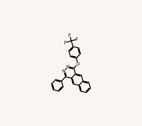 FC(F)(F)c1ccc(Oc2nnc(-c3ccccc3)c3cc4ccccc4cc23)cc1